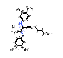 CCCCCCCCCCCCCC#CC(=N\c1ccc(CCC)c(CCC)c1)/C(C)=N/c1ccc(CCC)c(CCC)c1.[Ni]